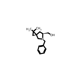 CC1(C)C[C@]12C[C@@H](CO)N(Cc1ccccc1)C2